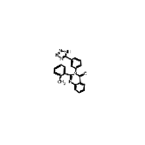 Cc1ccccc1-c1nc2ccccc2c(=O)n1-c1cccc(-c2nnn[nH]2)c1